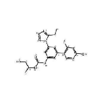 CCc1nnnn1-c1cc(OC(=O)NC(C)CO)cc(-c2ccc(Cl)cc2F)c1